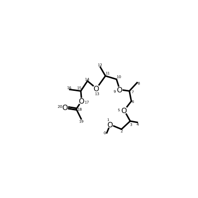 COCC(C)OCC(C)OCC(C)OCC(C)OC(C)=O